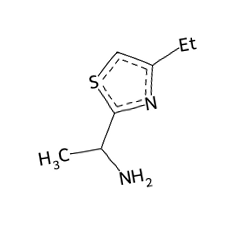 CCc1csc(C(C)N)n1